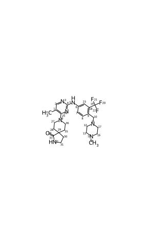 Cc1cnc(Nc2ccc(CN3CCN(C)CC3)c(C(F)(F)F)c2)nc1N1CCC2(CCNC2=O)CC1